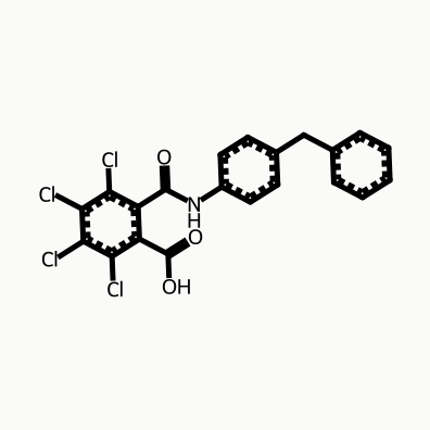 O=C(O)c1c(Cl)c(Cl)c(Cl)c(Cl)c1C(=O)Nc1ccc(Cc2ccccc2)cc1